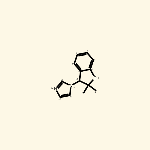 CC1(C)Oc2ccccc2C1n1ccnc1